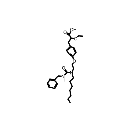 CCCCCCCN(CCOc1ccc(CC(OCC)C(=O)O)cc1)C(=O)NCc1ccccc1